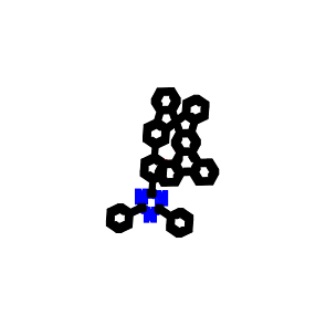 c1ccc(-c2nc(-c3ccccc3)nc(-c3ccc(-c4ccc5c(c4)C4(c6ccccc6-5)c5ccccc5-c5cc6c7ccccc7c7ccccc7c6cc54)cc3)n2)cc1